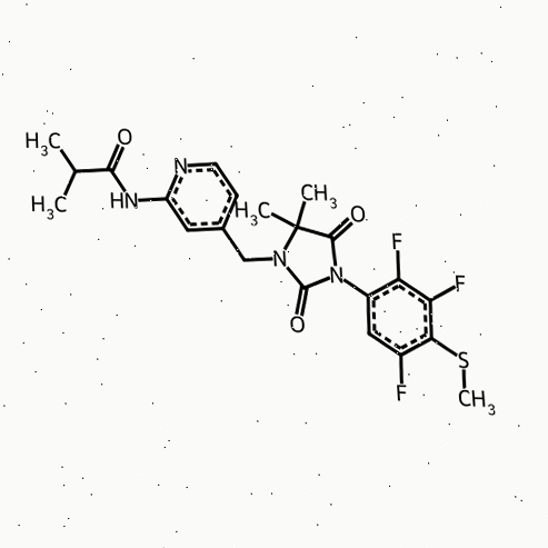 CSc1c(F)cc(N2C(=O)N(Cc3ccnc(NC(=O)C(C)C)c3)C(C)(C)C2=O)c(F)c1F